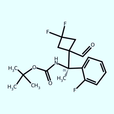 CC(C)(C)OC(=O)N[C@](C)(c1ccccc1F)C1(C=O)CC(F)(F)C1